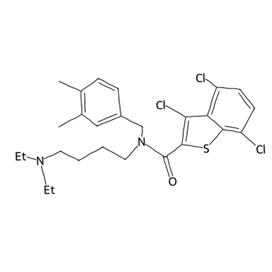 CCN(CC)CCCCN(Cc1ccc(C)c(C)c1)C(=O)c1sc2c(Cl)ccc(Cl)c2c1Cl